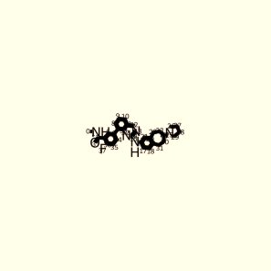 CNC(=O)c1cc(-c2cccc3cnc(Nc4ccc5c(c4)CC[C@@H](N4CCCC4)CC5)nc23)ccc1F